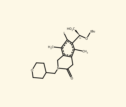 Cc1c(I)c([C@H](OC(C)(C)C)C(=O)O)c(C)c2c1CN(CC1CCOCC1)C(=O)C2